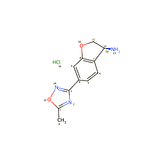 Cc1nc(-c2ccc3c(c2)OC[C@H]3N)no1.Cl